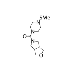 CSN1CCN(C(=O)N2CC3COCC3C2)CC1